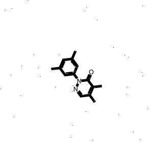 Cc1cc(C)cc(-n2ncc(C)c(C)c2=O)c1